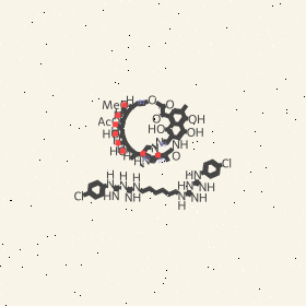 CO[C@H]1/C=C/O[C@@]2(C)Oc3c(C)c(O)c4c(O)c(c(/C=N/N5CCN(C)CC5)c(O)c4c3C2=O)NC(=O)/C(C)=C\C=C\[C@H](C)[C@H](O)[C@@H](C)[C@@H](O)[C@@H](C)[C@H](OC(C)=O)[C@@H]1C.N=C(NCCCCCCNC(=N)NC(=N)Nc1ccc(Cl)cc1)NC(=N)Nc1ccc(Cl)cc1